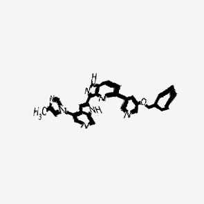 Cc1cn(-c2cncc3[nH]c(-c4n[nH]c5ccc(-c6cncc(OCc7ccccc7)c6)nc45)cc23)cn1